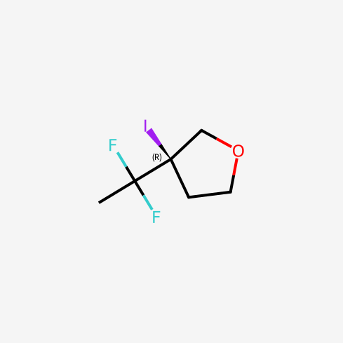 CC(F)(F)[C@@]1(I)CCOC1